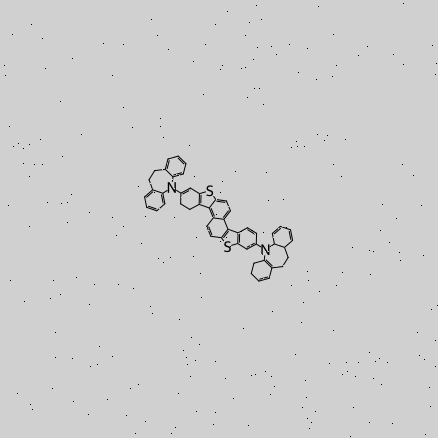 C1=CC2CCC3=C(CCC=C3)N(c3ccc4c(c3)sc3ccc5c(ccc6sc7c(c65)CCC(N5c6ccccc6CCc6ccccc65)=C7)c34)C2C=C1